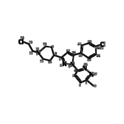 Cc1ccc(-n2nc(C3CCN(CCCl)CC3)cc2-c2ccc(Cl)cc2)nn1